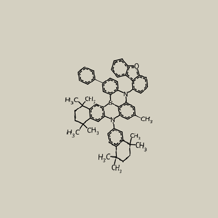 Cc1cc2c3c(c1)N(c1cccc4oc5ccccc5c14)c1ccc(-c4ccccc4)cc1B3c1cc3c(cc1N2c1ccc2c(c1)C(C)(C)CCC2(C)C)C(C)(C)CCC3(C)C